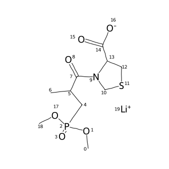 COP(=O)(CC(C)C(=O)N1CSCC1C(=O)[O-])OC.[Li+]